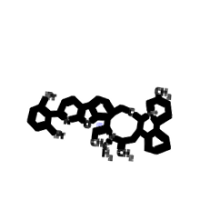 C=C1CC2c3ccccc3-c3ccc(C)c[n+]3C2CCc2ccc3c(oc4nc(-c5c(C(C)C)cccc5C(C)C)ccc43)c2/C(=C/C)N1C